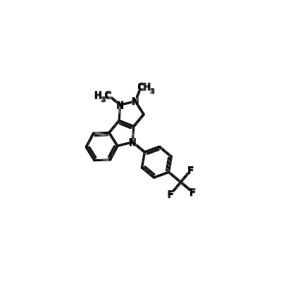 CN1Cc2c(c3ccccc3n2-c2ccc(C(F)(F)F)cc2)N1C